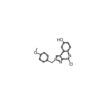 COc1ccc(Cn2cc3c(n2)c(Cl)nc2ccc(O)cc23)cc1